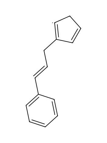 [C]1=C(CC=Cc2ccccc2)C=CC1